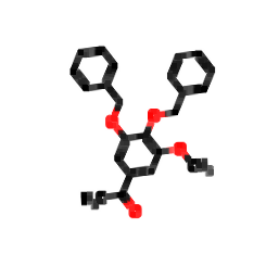 COc1cc(C(C)=O)cc(OCc2ccccc2)c1OCc1ccccc1